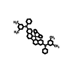 Cc1cc(C)cc(N(c2ccccc2)c2ccc3c4c(ccc3c2)-c2ccc3cc(N(c5ccccc5)c5cc(C)cc(C)c5)ccc3c2C42c3ccccc3-c3ccccc32)c1